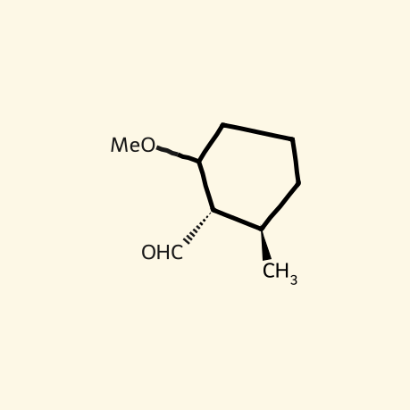 COC1CCC[C@@H](C)[C@@H]1C=O